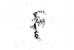 CC(C)(C)OC(=O)N(CCNC(=O)Cc1ccc(N)cc1)CCNC(=O)Cc1ccc(N)cc1